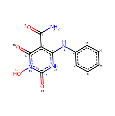 NC(=O)c1c(Nc2ccccc2)[nH]c(=O)n(O)c1=O